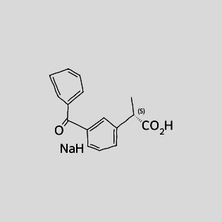 C[C@H](C(=O)O)c1cccc(C(=O)c2ccccc2)c1.[NaH]